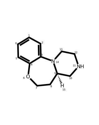 c1ccc2c(c1)OCC[C@@H]1CNCCN21